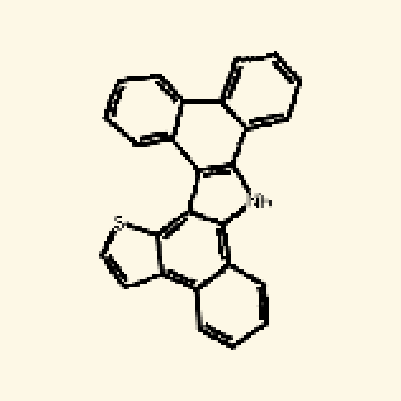 c1ccc2c(c1)c1ccccc1c1c2[nH]c2c3ccccc3c3ccsc3c21